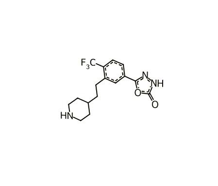 O=c1[nH]nc(-c2ccc(C(F)(F)F)c(CCC3CCNCC3)c2)o1